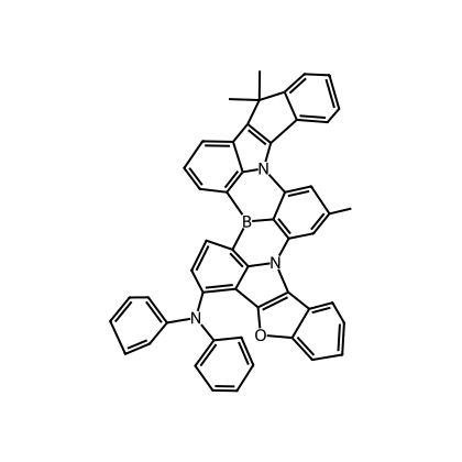 Cc1cc2c3c(c1)-n1c4c(ccc(N(c5ccccc5)c5ccccc5)c4c4oc5ccccc5c41)B3c1cccc3c4c(n-2c13)-c1ccccc1C4(C)C